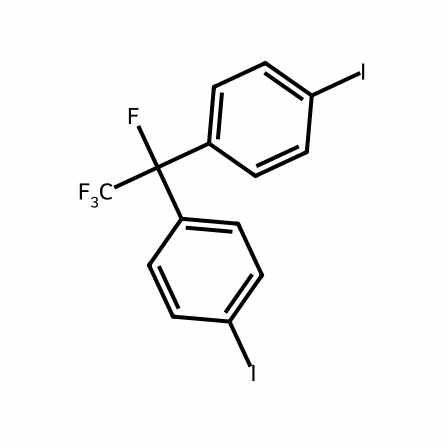 FC(F)(F)C(F)(c1ccc(I)cc1)c1ccc(I)cc1